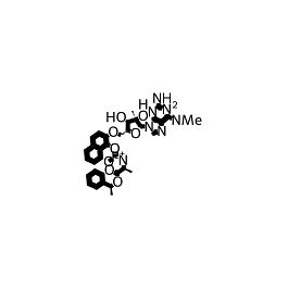 CNc1nc(N)nc2c1ncn2C1O[C@H](COc2ccc3ccccc3c2O/[P+]([O-])=N/[C@@H](C)C(=O)O[C@@H](C)c2ccccc2)[C@@H](O)[C@@]1(C)O